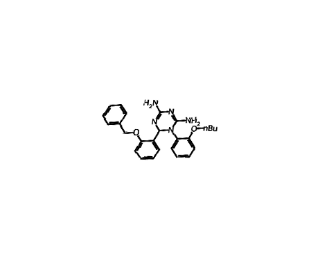 CCCCOc1ccccc1N1C(N)=NC(N)=NC1c1ccccc1OCc1ccccc1